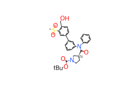 CC(C)(C)OC(=O)N1CC[C@H](C(=O)N(c2ccccc2)c2cccc(-c3ccc(CO)c(S(C)(=O)=O)c3)c2)C1